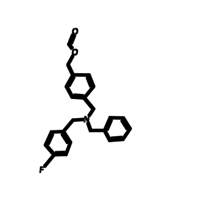 O=COCc1ccc(CN(Cc2ccccc2)Cc2ccc(F)cc2)cc1